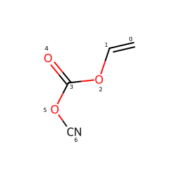 C=COC(=O)OC#N